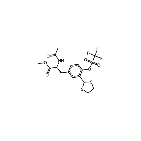 COC(=O)[C@H](Cc1ccc(OS(=O)(=O)C(F)(F)F)c(C2SCCS2)c1)NC(C)=O